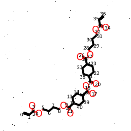 C=CC(=O)OCCCCOC(=O)C1CCC(C(=O)OC(=O)C2CCC(C(=O)OCCCCOC(=O)C=C)CC2)CC1